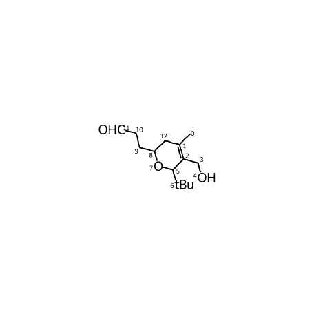 CC1=C(CO)C(C(C)(C)C)OC(CCC=O)C1